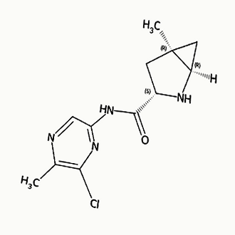 Cc1ncc(NC(=O)[C@@H]2C[C@@]3(C)C[C@H]3N2)nc1Cl